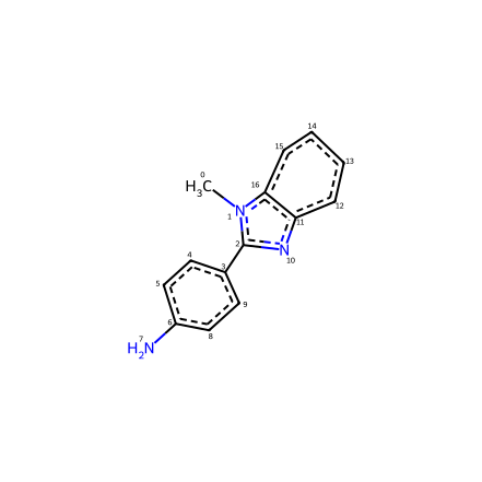 Cn1c(-c2ccc(N)cc2)nc2ccccc21